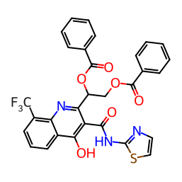 O=C(OCC(OC(=O)c1ccccc1)c1nc2c(C(F)(F)F)cccc2c(O)c1C(=O)Nc1nccs1)c1ccccc1